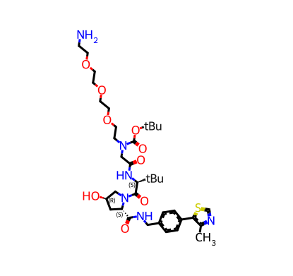 Cc1ncsc1-c1ccc(CNC(=O)[C@@H]2C[C@@H](O)CN2C(=O)[C@@H](NC(=O)CN(CCOCCOCCOCCN)C(=O)OC(C)(C)C)C(C)(C)C)cc1